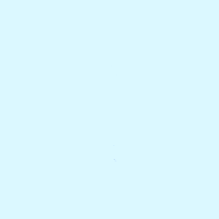 C=COCCOCCOC(C)C